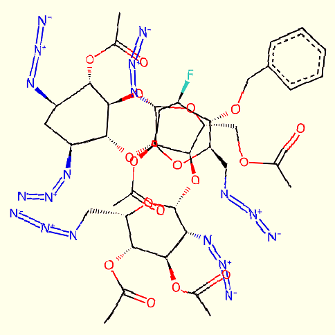 CC(=O)OC[C@H]1O[C@@H](O[C@@H]2[C@@H](OC(C)=O)[C@H](N=[N+]=[N-])C[C@H](N=[N+]=[N-])[C@H]2O[C@H]2O[C@H](CN=[N+]=[N-])[C@@H](OCc3ccccc3)[C@H](F)[C@H]2N=[N+]=[N-])[C@H](OC(C)=O)[C@@H]1O[C@H]1O[C@@H](CN=[N+]=[N-])[C@@H](OC(C)=O)[C@H](OC(C)=O)[C@H]1N=[N+]=[N-]